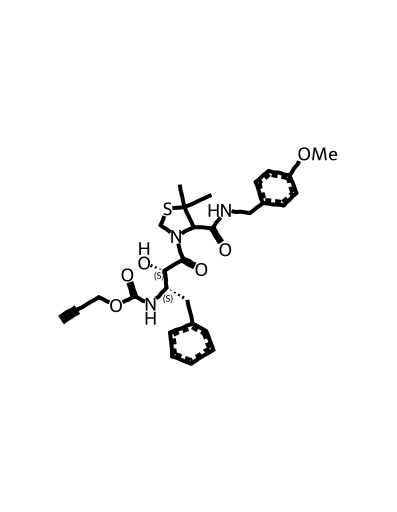 C#CCOC(=O)N[C@@H](Cc1ccccc1)[C@H](O)C(=O)N1CSC(C)(C)C1C(=O)NCc1ccc(OC)cc1